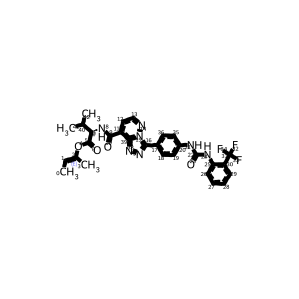 C/C=C(\C)OC(=O)[C@@H](NC(=O)c1ccnn2c(-c3ccc(NC(=O)Nc4ccccc4C(F)(F)F)cc3)nnc12)C(C)C